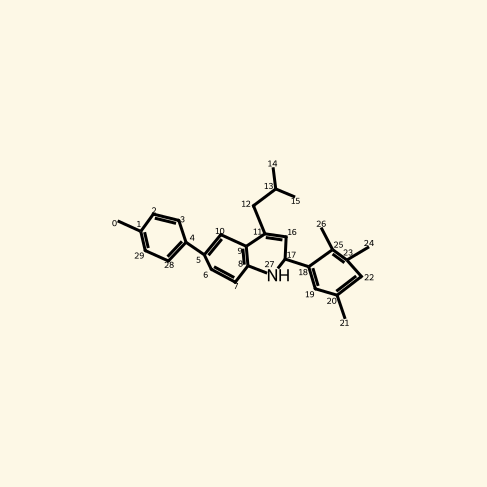 Cc1ccc(-c2ccc3c(c2)C(CC(C)C)=CC(c2cc(C)cc(C)c2C)N3)cc1